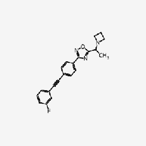 CC(c1nc(-c2ccc(C#Cc3cccc(F)c3)cc2)no1)N1CCC1